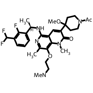 CNCCOc1c(C)nc(N[C@H](C)c2cccc(C(F)F)c2F)c2cc(C3(OC)CCN(C(C)=O)CC3)c(=O)n(C)c12